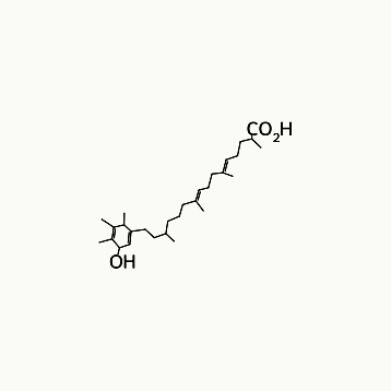 CC1=C(C)C(C)C(CCC(C)CCC/C(C)=C/CC/C(C)=C/CCC(C)C(=O)O)=CC1O